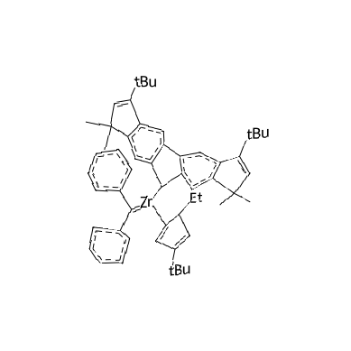 CCC1C=C(C(C)(C)C)C=[C]1[Zr](=[C](c1ccccc1)c1ccccc1)[CH]1c2cc3c(cc2-c2cc4c(cc21)C(C)(C)C=C4C(C)(C)C)C(C(C)(C)C)=CC3(C)C